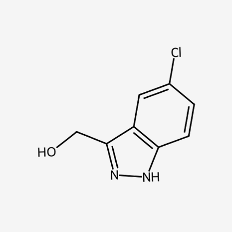 OCc1n[nH]c2ccc(Cl)cc12